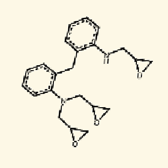 c1ccc(NCC2CO2)c(Cc2ccccc2N(CC2CO2)CC2CO2)c1